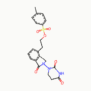 Cc1ccc(S(=O)(=O)OCCc2cccc3c2CN(N2CCC(=O)NC2=O)C3=O)cc1